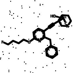 O[C@]1(C#Cc2ccc(OCCCCF)nc2Cc2ccccc2)CN2CCC1CC2